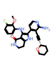 COc1c(F)cccc1Nc1c(-c2ccnc(N)c2C#C[C@@H]2CCCCO2)[nH]c2c1C(=O)NCC2